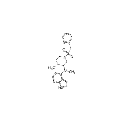 C[C@@H]1CCN(S(=O)(=O)Cc2ccccn2)CC1N(C)c1ccnc2[nH]ccc12